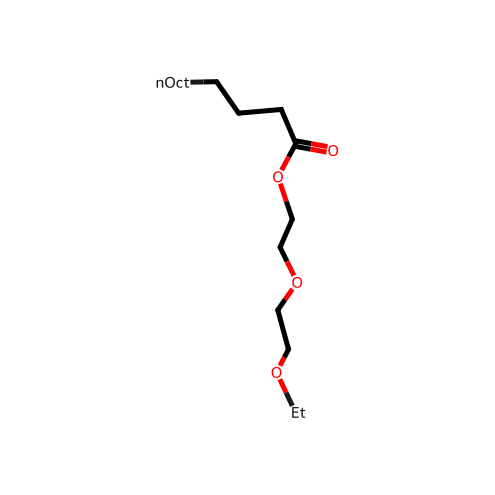 CCCCCCCCCCCC(=O)OCCOCCOCC